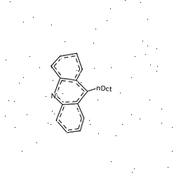 CCCCCCCCc1c2ccccc2nc2ccccc12